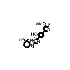 CCC[C@]1(C)CCCC[C@H](N(C)c2cnc(-c3ccc(-c4cnc(F)c(OC)c4)cc3O)nn2)[C@@H]1F